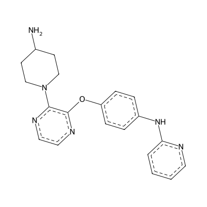 NC1CCN(c2nccnc2Oc2ccc(Nc3ccccn3)cc2)CC1